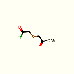 COC(=O)CSCC(=O)Cl